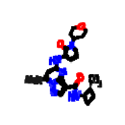 CNc1cc(Nc2cccn(C3CCOCC3)c2=O)nc2c(C(=O)N[C@H]3CC[C@H]3C)cnn12